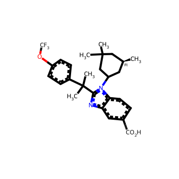 C[C@H]1CC(n2c(C(C)(C)c3ccc(OC(F)(F)F)cc3)nc3cc(C(=O)O)ccc32)CC(C)(C)C1